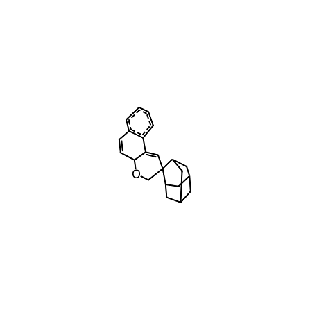 C1=CC2OCC3(C=C2c2ccccc21)C1CC2CC(C1)CC3C2